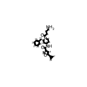 NCCCC(=O)N1CC[C@H](NC(=O)c2cc(C3CC3)on2)C[C@H]1Cc1ccccc1